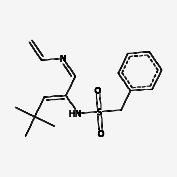 C=C/N=C\C(=C\C(C)(C)C)NS(=O)(=O)Cc1ccccc1